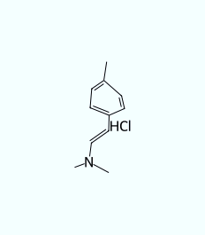 Cc1ccc(C=CN(C)C)cc1.Cl